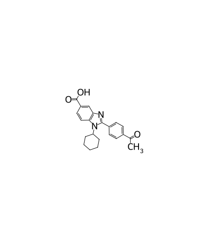 CC(=O)c1ccc(-c2nc3cc(C(=O)O)ccc3n2C2CCCCC2)cc1